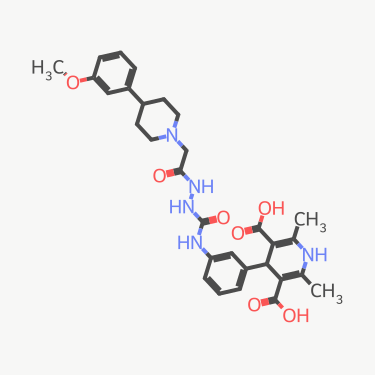 COc1cccc(C2CCN(CC(=O)NNC(=O)Nc3cccc(C4C(C(=O)O)=C(C)NC(C)=C4C(=O)O)c3)CC2)c1